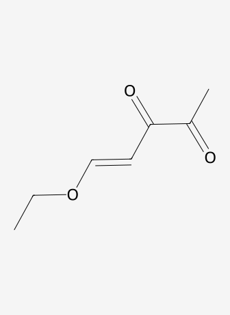 CCO/C=C/C(=O)C(C)=O